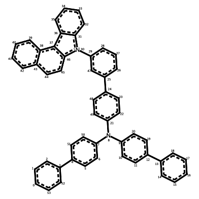 c1ccc(-c2ccc(N(c3ccc(-c4ccccc4)cc3)c3ccc(-c4cccc(-n5c6ccccc6c6c7ccccc7ccc65)c4)cc3)cc2)cc1